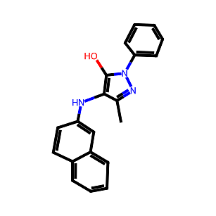 Cc1nn(-c2ccccc2)c(O)c1Nc1ccc2ccccc2c1